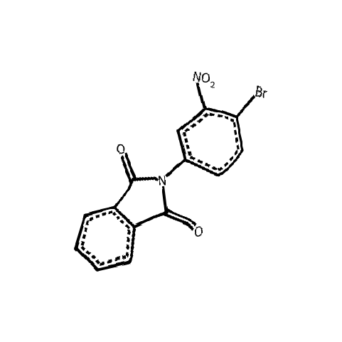 O=C1c2ccccc2C(=O)N1c1ccc(Br)c([N+](=O)[O-])c1